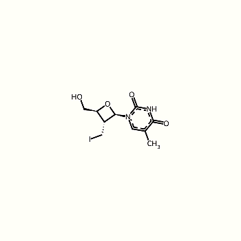 Cc1cn([C@@H]2O[C@H](CO)[C@H]2CI)c(=O)[nH]c1=O